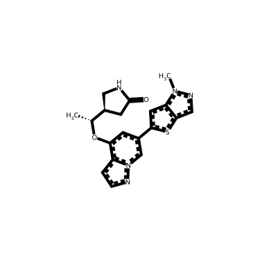 C[C@@H](Oc1cc(-c2cc3c(cnn3C)s2)cn2nccc12)[C@H]1CNC(=O)C1